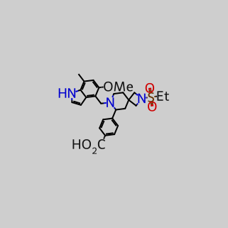 CCS(=O)(=O)N1CC2(CCN(Cc3c(OC)cc(C)c4[nH]ccc34)C(c3ccc(C(=O)O)cc3)C2)C1